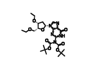 CCOC[C@H]1O[C@@H](n2cnc3c(=O)[nH]c(N(C(=O)OC(C)(C)C)C(=O)OC(C)(C)C)nc32)C[C@H]1OCC